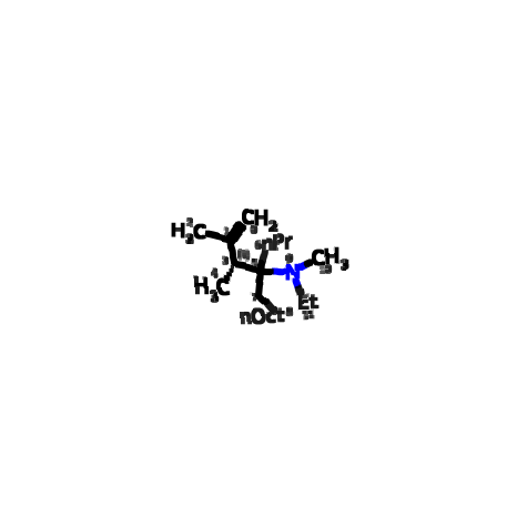 C=C(C)[C@@H](C)C(CCC)(CCCCCCCCC)N(C)CC